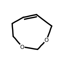 C1=C\COCOCC/1